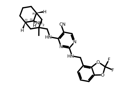 CC1(CNc2nc(NCc3cccc4c3OC(F)(F)O4)ncc2C#N)C[C@H]2CCC[C@@H](C1)[C@@H]2N